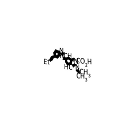 C#C/C(=N\C=C(C)C)N(CC1CCCC(C)(Cn2cnc3ccc(C#CCC)cc32)C1)C(=O)O